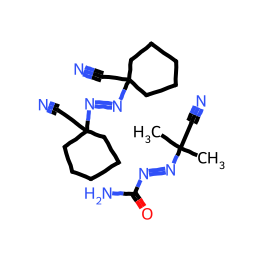 CC(C)(C#N)N=NC(N)=O.N#CC1(N=NC2(C#N)CCCCC2)CCCCC1